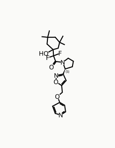 CC1(C)CC(C)(C)CC(O)(C(F)(F)C(=O)N2CCC[C@H]2c2cc(COc3ccncc3)on2)C1